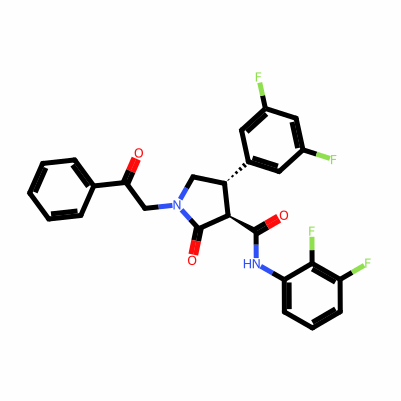 O=C(CN1C[C@H](c2cc(F)cc(F)c2)[C@@H](C(=O)Nc2cccc(F)c2F)C1=O)c1ccccc1